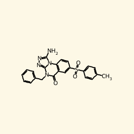 Cc1ccc(S(=O)(=O)c2ccc3c(c2)c(=O)n(Cc2ccccc2)c2nnc(N)n32)cc1